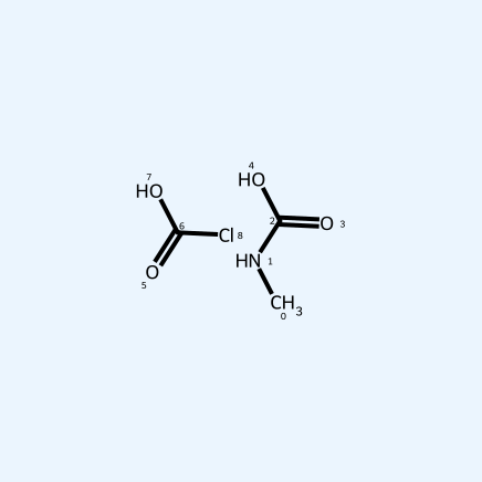 CNC(=O)O.O=C(O)Cl